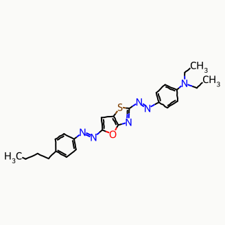 CCCCc1ccc(N=Nc2cc3sc(N=Nc4ccc(N(CC)CC)cc4)nc3o2)cc1